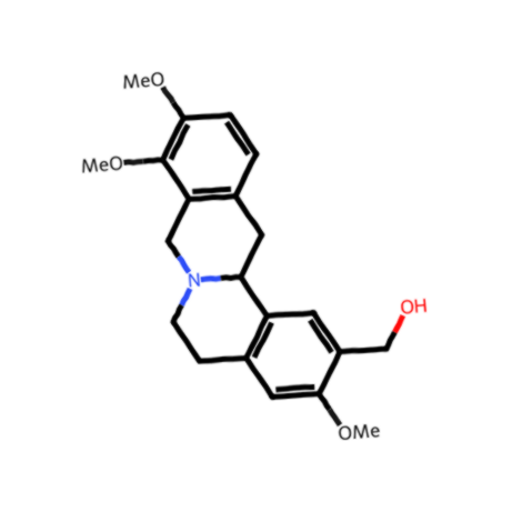 COc1cc2c(cc1CO)C1Cc3ccc(OC)c(OC)c3CN1CC2